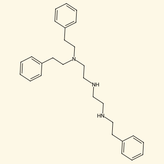 c1ccc(CCNCCNCCN(CCc2ccccc2)CCc2ccccc2)cc1